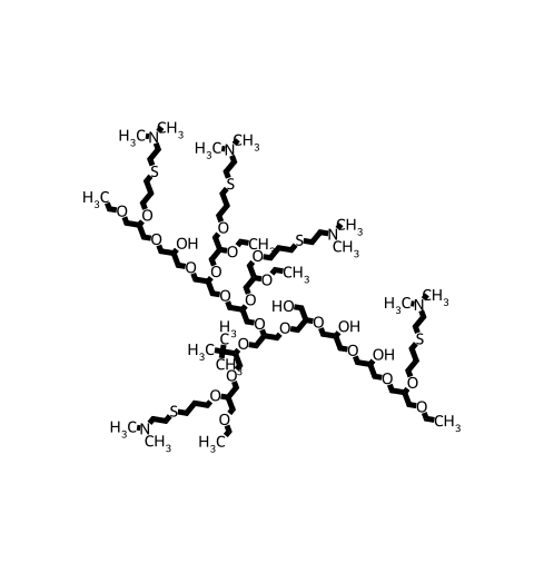 CCOCC(COCC(O)COCC(O)COC(CO)COCC(COC(COCC(COCC)OCCCSCCN(C)C)C(C)(C)C)OCC(COCC(COCC(O)COCC(COCC)OCCCSCCN(C)C)OCC(COCCCSCCN(C)C)OCC)OCC(COCCCSCCN(C)C)OCC)OCCCSCCN(C)C